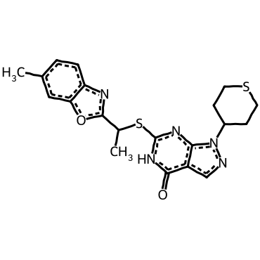 Cc1ccc2nc(C(C)Sc3nc4c(cnn4C4CCSCC4)c(=O)[nH]3)oc2c1